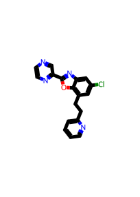 Clc1cc(CCc2ccccn2)c2oc(-c3cnccn3)nc2c1